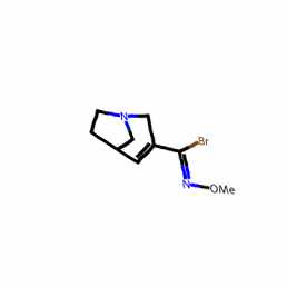 CON=C(Br)C1=CC2CCN(C1)C2